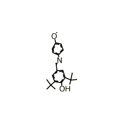 COc1ccc(N=Cc2cc(C(C)(C)C)c(O)c(C(C)(C)C)c2)cc1